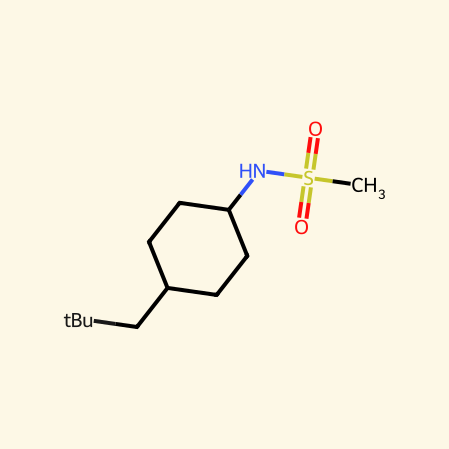 CC(C)(C)CC1CCC(NS(C)(=O)=O)CC1